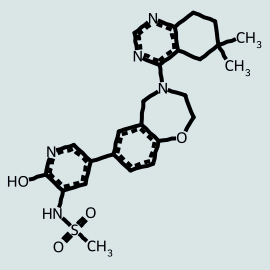 CC1(C)CCc2ncnc(N3CCOc4ccc(-c5cnc(O)c(NS(C)(=O)=O)c5)cc4C3)c2C1